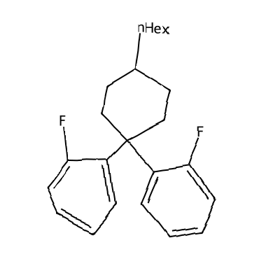 CCCCCCC1CCC(c2ccccc2F)(c2ccccc2F)CC1